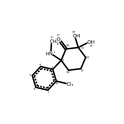 CNC1(c2ccccc2Cl)CCCC(O)(O)C1=O